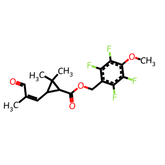 COc1c(F)c(F)c(COC(=O)C2C(C=C(C)C=O)C2(C)C)c(F)c1F